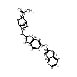 CC(=O)N1CC2CC1CN2Cc1cc2ccc(Oc3nc4ncccc4s3)cc2o1